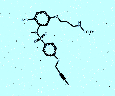 CC#CCOc1ccc(S(=O)(=O)N(C)c2cc(OCCCNC(=O)OCC)ccc2OC(C)=O)cc1